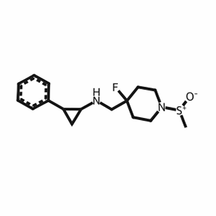 C[S+]([O-])N1CCC(F)(CNC2CC2c2ccccc2)CC1